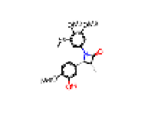 COc1ccc([C@H]2[C@@H](C)C(=O)N2c2cc(OC)c(OC)c([Se]C)c2)cc1O